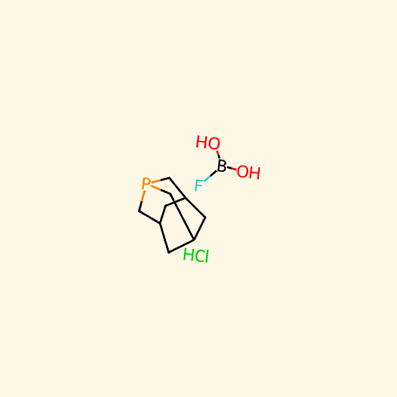 C1C2CC3CC1CP(C2)C3.Cl.OB(O)F